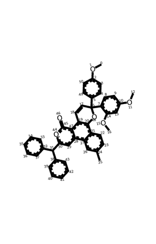 COc1ccc(C2(c3ccc(OC)cc3OC)C=Cc3c(c4ccc(C)cc4c4cc(C(c5ccccc5)c5ccccc5)oc(=O)c34)O2)cc1